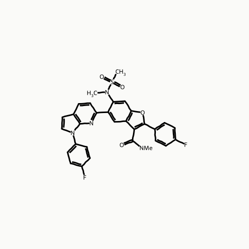 CNC(=O)c1c(-c2ccc(F)cc2)oc2cc(N(C)S(C)(=O)=O)c(-c3ccc4ccn(-c5ccc(F)cc5)c4n3)cc12